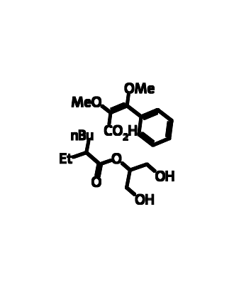 CCCCC(CC)C(=O)OC(CO)CO.COC(C(=O)O)=C(OC)c1ccccc1